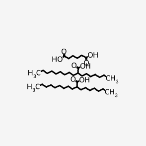 CCCCCCCCCC(CCCCCCC)C(=O)O.CCCCCCCCCC(CCCCCCC)C(=O)O.O=C(O)CCCCC(=O)O